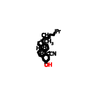 CC(C)CCC[C@@H](C)[C@H]1CC[C@H]2[C@@H]3CC=C4C[C@@H](O)CC[C@]4(CC#N)[C@H]3CC[C@]12C